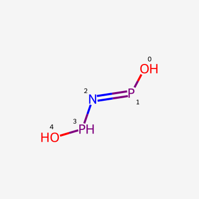 OP=NPO